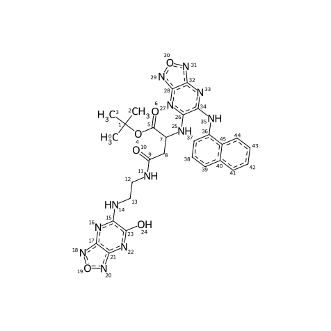 CC(C)(C)OC(=O)C(CC(=O)NCCNc1nc2nonc2nc1O)Nc1nc2nonc2nc1Nc1cccc2ccccc12